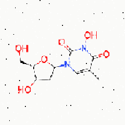 Cc1cn([C@H]2CC(O)[C@@H](CO)O2)c(=O)n(O)c1=O